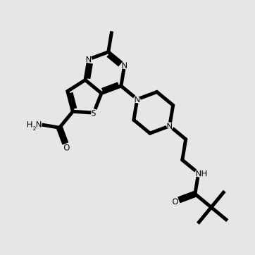 Cc1nc(N2CCN(CCNC(=O)C(C)(C)C)CC2)c2sc(C(N)=O)cc2n1